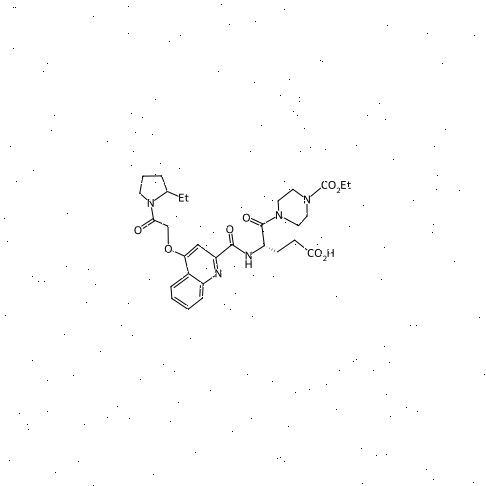 CCOC(=O)N1CCN(C(=O)[C@H](CCC(=O)O)NC(=O)c2cc(OCC(=O)N3CCCC3CC)c3ccccc3n2)CC1